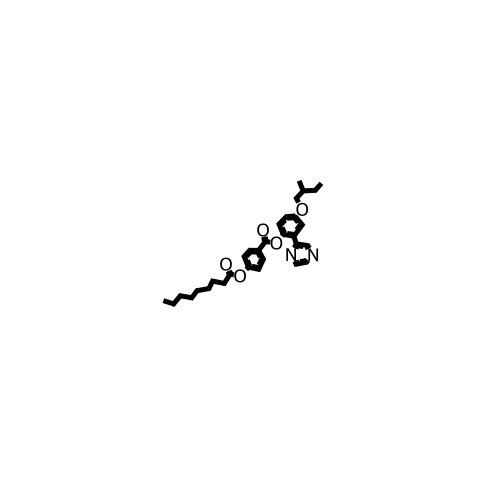 CCCCCCCCC(=O)Oc1ccc(C(=O)Oc2ccc(OCC(C)CC)cc2-c2cnccn2)cc1